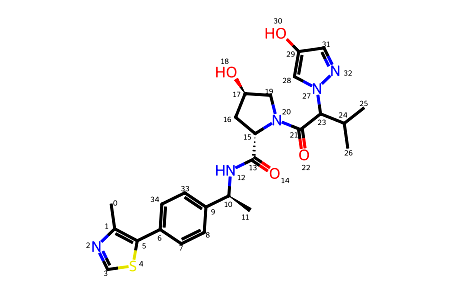 Cc1ncsc1-c1ccc([C@H](C)NC(=O)[C@@H]2C[C@@H](O)CN2C(=O)C(C(C)C)n2cc(O)cn2)cc1